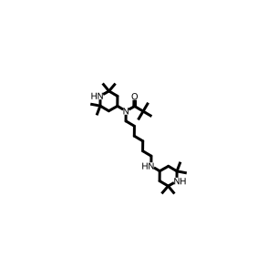 CC1(C)CC(NCCCCCCN(C(=O)C(C)(C)C)C2CC(C)(C)NC(C)(C)C2)CC(C)(C)N1